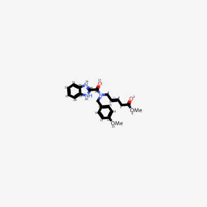 COC(=O)C/C=C/CN(Cc1ccc(OC)cc1)C(=O)c1nc2ccccc2[nH]1